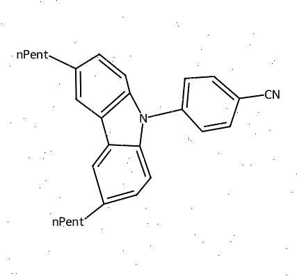 CCCCCc1ccc2c(c1)c1cc(CCCCC)ccc1n2-c1ccc(C#N)cc1